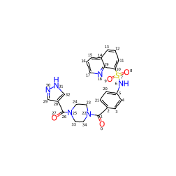 O=C(c1ccc(NS(=O)(=O)c2cccc3cccnc23)cc1)N1CCN(C(=O)c2cn[nH]c2)CC1